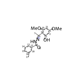 COc1cc(O)c(/C(C)=N/NC(=O)c2cccc(C)c2)c(OC)c1